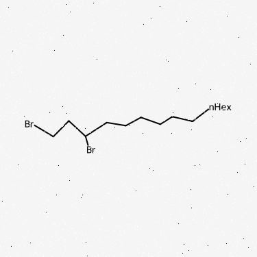 CCCCCCCCCCCCC(Br)CCBr